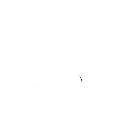 CCCN[C@H](CC(N)=O)Cc1ccc2ccccc2c1